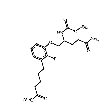 COC(=O)CCCCc1cccc(OCC(CCC(N)=O)NC(=O)OC(C)(C)C)c1F